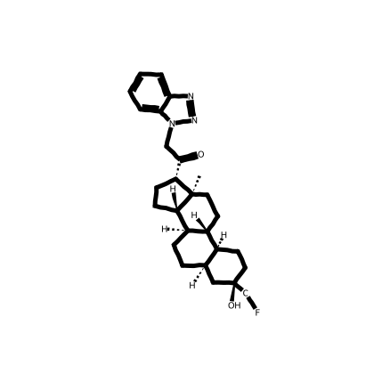 C[C@]12CC[C@H]3[C@@H](CC[C@@H]4C[C@@](O)(CF)CC[C@@H]43)[C@@H]1CC[C@@H]2C(=O)Cn1nnc2ccccc21